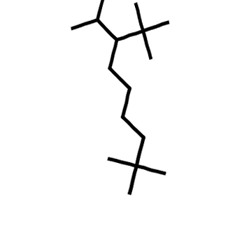 CC(C)C(CCCCC(C)(C)C)C(C)(C)C